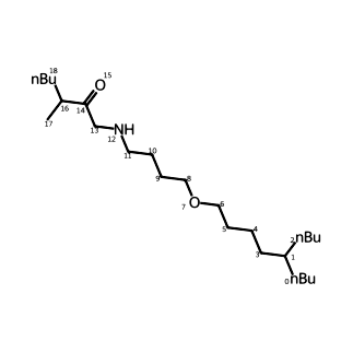 CCCCC(CCCC)CCCCOCCCCNCC(=O)C(C)CCCC